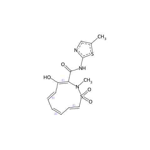 Cc1cnc(NC(=O)/C2=C(O)/C=C/C=C\C=C\S(=O)(=O)N2C)s1